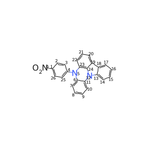 O=[N+]([O-])c1ccc(N2c3ccccc3-n3c4ccccc4c4cccc2c43)cc1